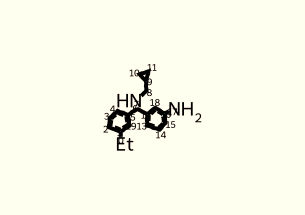 CCc1cccc(C(NCC2CC2)c2cccc(N)c2)c1